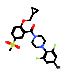 CS(=O)(=O)c1ccc(OCC2CC2)c(C(=O)N2CCN(c3c(F)cc(C#N)cc3F)CC2)c1